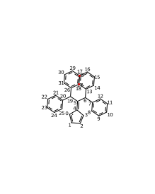 [C]1=CC=CC1=C(C(c1ccccc1)c1ccccc1)C(c1ccccc1)c1ccccc1